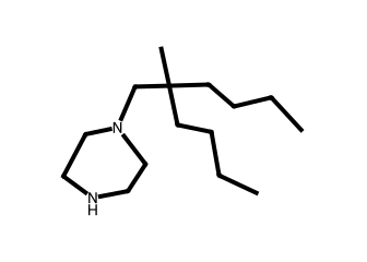 CCCCC(C)(CCCC)CN1CCNCC1